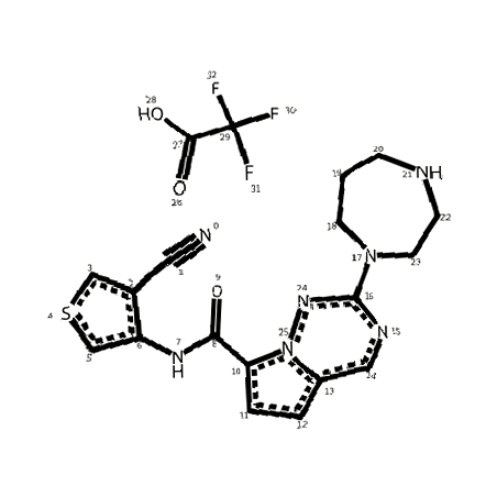 N#Cc1cscc1NC(=O)c1ccc2cnc(N3CCCNCC3)nn12.O=C(O)C(F)(F)F